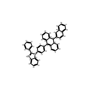 C1=CC2=C(c3ccc(-n4c(-c5ccccc5)nc5ccccc54)cc3)c3ccccc3C(c3ccc4ccccc4c3)C2C=C1